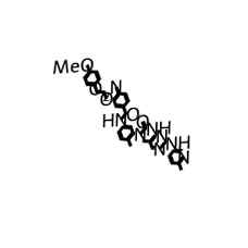 COc1ccc(CCOc2cc(C(=O)Nc3ccc(C)c(N4Cc5cnc(Nc6ccc(C)nc6)nc5NC4=O)c3)ccc2[N+](=O)[O-])cc1